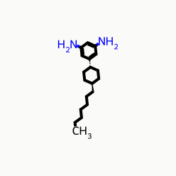 CCCCCCC[C@H]1CC[C@H](c2cc(N)cc(N)c2)CC1